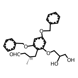 C[C@H](CC=O)Cc1c(OCc2ccccc2)cc(OCc2ccccc2)cc1OCC(O)CO